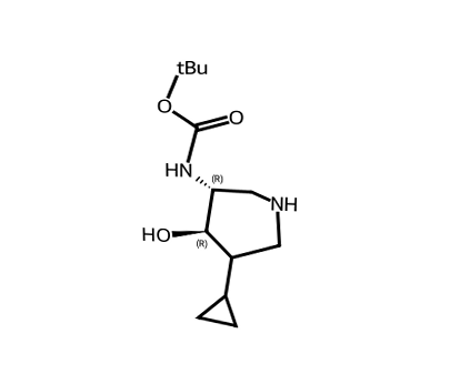 CC(C)(C)OC(=O)N[C@@H]1CNCC(C2CC2)[C@H]1O